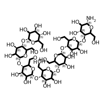 N[C@@H]1OC(CO)[C@@H](O[C@H]2OC(CO)[C@@H](O[C@H]3OC(CO)[C@@H](O[C@H]4OC(CO)[C@@H](O[C@H]5OC(CO)[C@@H](O[C@H]6OC(CO)[C@@H](O[C@H]7OC(CO)[C@@H](O)[C@H](O)C7O)[C@H](O)C6O)[C@H](O)C5O)[C@H](O)C4O)[C@H](O)C3O)[C@H](O)C2O)[C@H](O)C1O